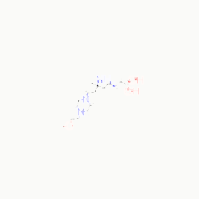 COCCN1CCN(CCC(C)(N)CCCCB(O)O)CC1